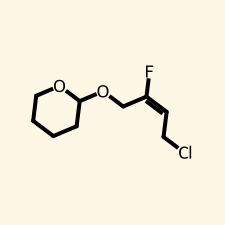 F/C(=C/CCl)COC1CCCCO1